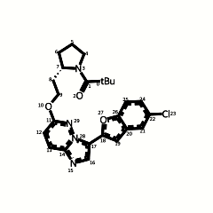 CC(C)(C)C(=O)N1CCC[C@H]1CCOc1ccc2ncc(-c3cc4cc(Cl)ccc4o3)n2n1